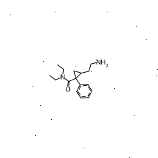 CCN(CC)C(=O)C1(c2ccccc2)CC1CCN